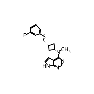 CN(c1ncnc2[nH]ccc12)[C@H]1C[C@@H](CSc2cccc(F)c2)C1